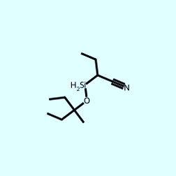 CCC(C#N)[SiH2]OC(C)(CC)CC